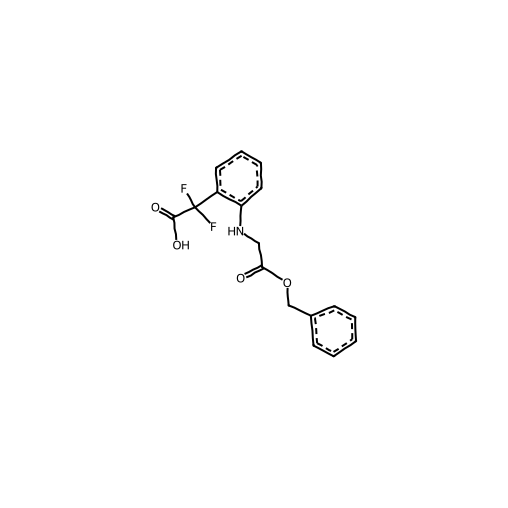 O=C(CNc1ccccc1C(F)(F)C(=O)O)OCc1ccccc1